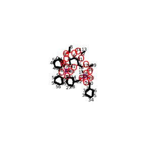 CC(=O)OC1C(OC(C)=O)[C@H](OC(C)=O)C([C@@H](COP(=O)(OCc2ccccc2)OCc2ccccc2)OC(C)=O)O[C@H]1OP(=O)(Oc1ccccc1)Oc1ccccc1